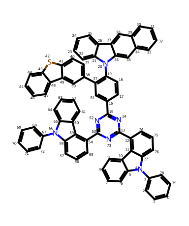 c1ccc(-n2c3ccccc3c3c(-c4nc(-c5ccc(-n6c7ccccc7c7cc8ccccc8cc76)c(-c6ccc7sc8ccccc8c7c6)c5)nc(-c5cccc6c5c5ccccc5n6-c5ccccc5)n4)cccc32)cc1